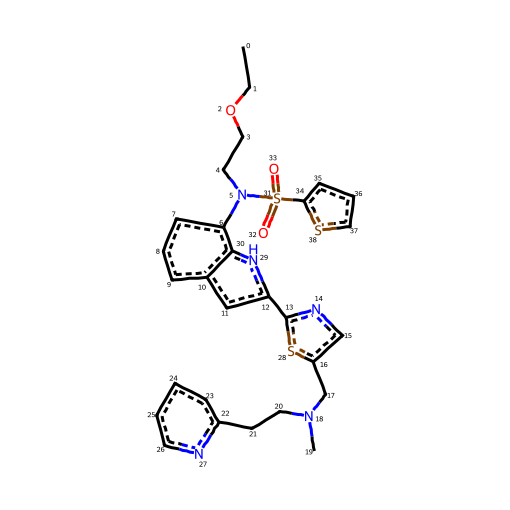 CCOCCN(c1cccc2cc(-c3ncc(CN(C)CCc4ccccn4)s3)[nH]c12)S(=O)(=O)c1cccs1